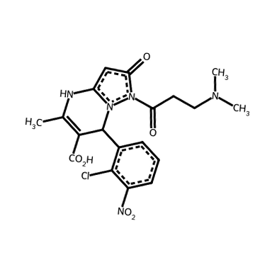 CC1=C(C(=O)O)C(c2cccc([N+](=O)[O-])c2Cl)n2c(cc(=O)n2C(=O)CCN(C)C)N1